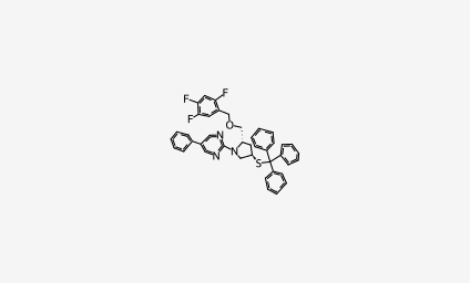 Fc1cc(F)c(COC[C@@H]2C[C@@H](SC(c3ccccc3)(c3ccccc3)c3ccccc3)CN2c2ncc(-c3ccccc3)cn2)cc1F